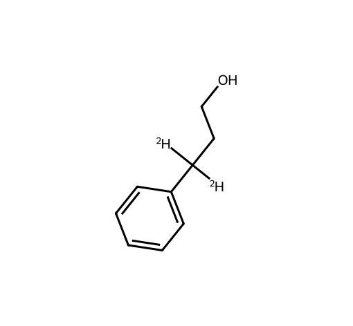 [2H]C([2H])(CCO)c1ccccc1